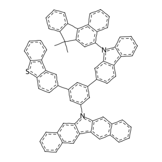 CC1(C)c2ccccc2-c2c1cc(-n1c3ccccc3c3ccc(-c4cc(-c5ccc6sc7ccccc7c6c5)cc(-n5c6cc7ccccc7cc6c6cc7ccccc7cc65)c4)cc31)c1ccccc21